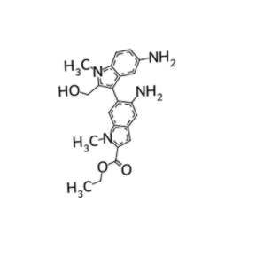 CCOC(=O)c1cc2cc(N)c(-c3c(CO)n(C)c4ccc(N)cc34)cc2n1C